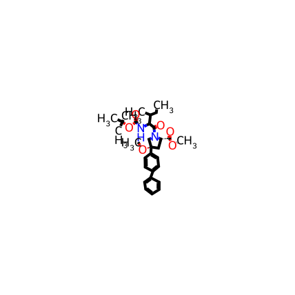 CCC(C)C(NC(=O)OC(C)(C)C)C(=O)N1C[C@](OC)(c2ccc(-c3ccccc3)cc2)C[C@H]1C(=O)OC